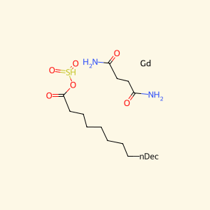 CCCCCCCCCCCCCCCCCC(=O)O[SH](=O)=O.NC(=O)CCC(N)=O.[Gd]